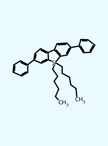 CCCCCC[Si]1(CCCCCC)c2cc(-c3ccccc3)ccc2-c2ccc(-c3ccccc3)cc21